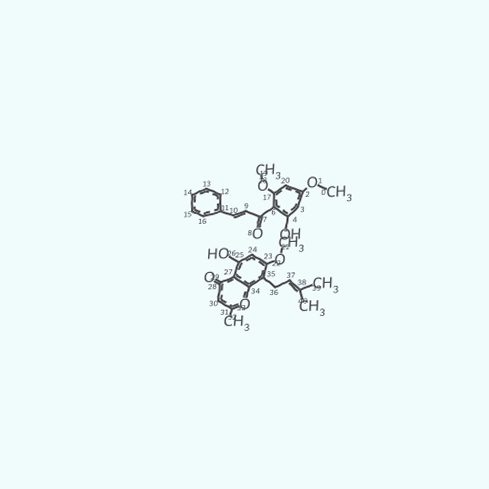 COc1cc(O)c(C(=O)C=Cc2ccccc2)c(OC)c1.COc1cc(O)c2c(=O)cc(C)oc2c1CC=C(C)C